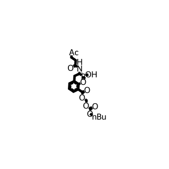 CCCCOC(=O)OCOC(=O)c1cccc2c1OB(O)[C@@H](NC(=O)CCC(C)=O)C2